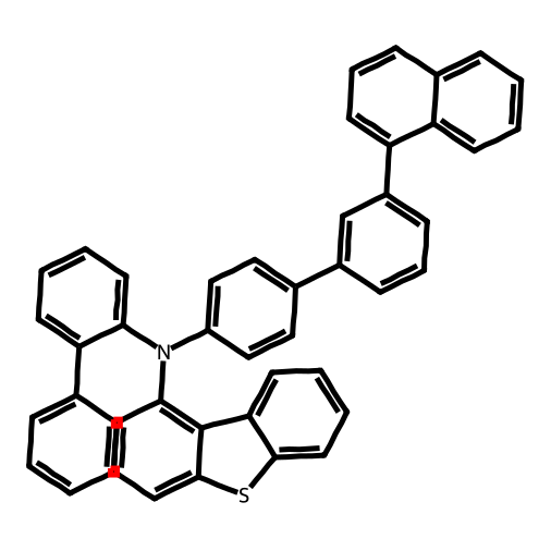 c1ccc(-c2ccccc2N(c2ccc(-c3cccc(-c4cccc5ccccc45)c3)cc2)c2cccc3sc4ccccc4c23)cc1